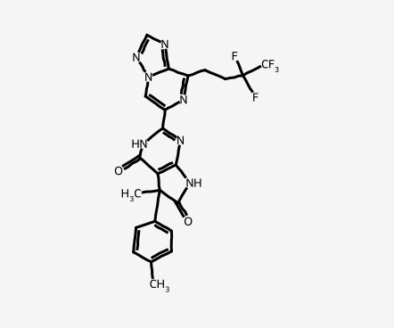 Cc1ccc(C2(C)C(=O)Nc3nc(-c4cn5ncnc5c(CCC(F)(F)C(F)(F)F)n4)[nH]c(=O)c32)cc1